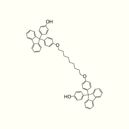 Oc1ccc(C2(c3ccc(OCCCCCCCCCOc4ccc(C5(c6ccc(O)cc6)c6ccccc6-c6ccccc65)cc4)cc3)c3ccccc3-c3ccccc32)cc1